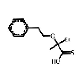 CCC(C)(OCCc1ccccc1)C(O)=S